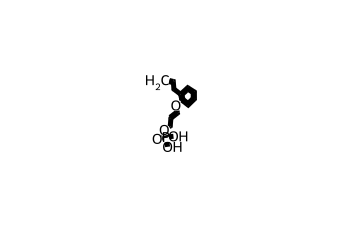 C=CCc1ccccc1OC=CCOP(=O)(O)O